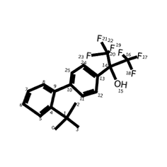 CC(C)(C)c1ccccc1-c1ccc(C(O)(C(F)(F)F)C(F)(F)F)cc1